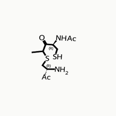 CC(=O)N[C@@H](CS)C(=O)C(C)SC[C@H](N)C(C)=O